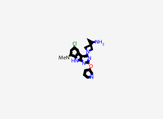 CNc1cc(Cl)cc2c1[nH]c1nc(Oc3cccnc3)nc(N3CC4(CC4N)C3)c12